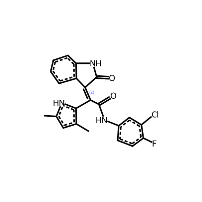 Cc1cc(C)c(/C(C(=O)Nc2ccc(F)c(Cl)c2)=C2/C(=O)Nc3ccccc32)[nH]1